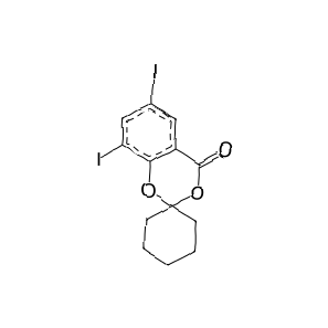 O=C1OC2(CCCCC2)Oc2c(I)cc(I)cc21